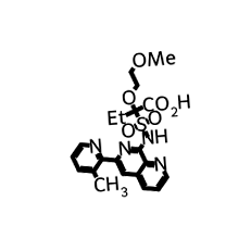 CCC(OCCOC)(C(=O)O)S(=O)(=O)Nc1nc(-c2ncccc2C)cc2cccnc12